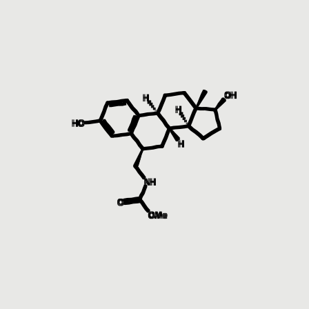 COC(=O)NC[C@@H]1C[C@@H]2[C@H](CC[C@]3(C)[C@@H](O)CC[C@@H]23)c2ccc(O)cc21